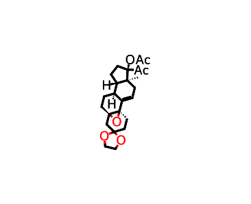 CC(=O)O[C@]1(C(C)=O)CC[C@H]2[C@@H]3CC[C@@]45CC6(CC[C@@]4(O5)C3=CC[C@@]21C)OCCO6